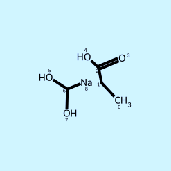 CCC(=O)O.O[CH](O)[Na]